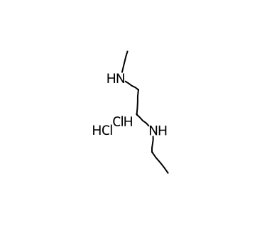 CCNCCNC.Cl.Cl